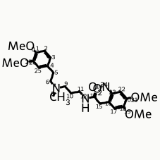 COc1ccc(CCN(C)CCCNC(=O)Cc2cc(OC)c(OC)cc2[N+](=O)[O-])cc1OC